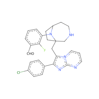 O=Cc1cccc(N2C3CCNCC2(Cc2c(-c4ccc(Cl)cc4)nc4ncccn24)CC3)c1F